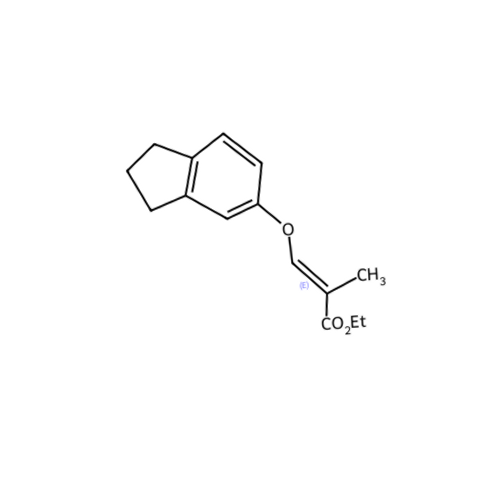 CCOC(=O)/C(C)=C/Oc1ccc2c(c1)CCC2